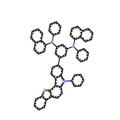 c1ccc(N(c2cc(-c3ccc4c5c6sc7ccccc7c6ccc5n(-c5ccccc5)c4c3)cc(N(c3ccccc3)c3cccc4ccccc34)c2)c2cccc3ccccc23)cc1